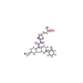 CC1CCC(N(C(=O)Nc2ncc(SCC(=O)O)s2)C2CCN(c3ccccc3F)CC2)CC1